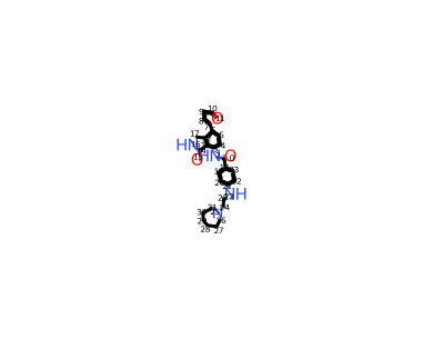 O=C(Nc1ccc(-c2ccco2)c2c1C(=O)NC2)c1ccc(NCCN2CCCCCC2)cc1